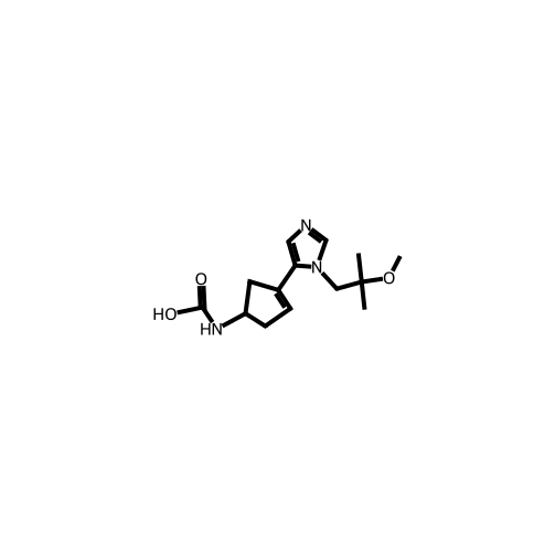 COC(C)(C)Cn1cncc1C1=CCC(NC(=O)O)C1